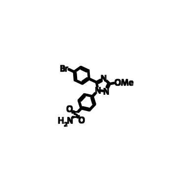 COc1nc(-c2ccc(Br)cc2)n(-c2ccc(S(N)(=O)=O)cc2)n1